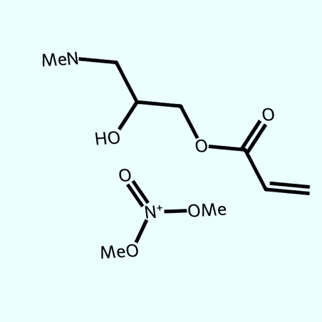 C=CC(=O)OCC(O)CNC.CO[N+](=O)OC